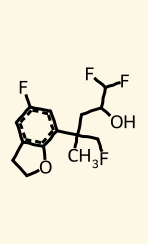 CC(CF)(CC(O)C(F)F)c1cc(F)cc2c1OCC2